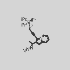 CC(N=[N+]=[N-])c1cc2ccccn2c1C#CCO[Si](C(C)C)(C(C)C)C(C)C